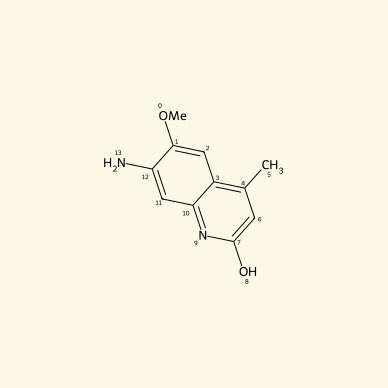 COc1cc2c(C)cc(O)nc2cc1N